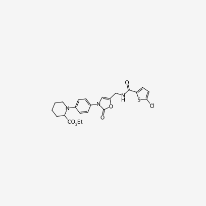 CCOC(=O)C1CCCCN1c1ccc(-n2cc(CNC(=O)c3ccc(Cl)s3)oc2=O)cc1